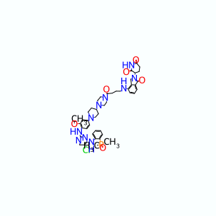 COc1cc(N2CCC(N3CCN(C(=O)CCCNc4cccc5c4CN(C4CCC(=O)NC4=O)C5=O)CC3)CC2)ccc1Nc1ncc(Cl)c(Nc2ccccc2P(C)(C)=O)n1